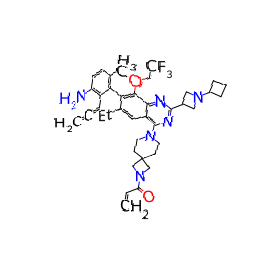 C=C=Cc1c(N)ccc(C)c1-c1c(CC)cc2c(N3CCC4(CC3)CN(C(=O)C=C)C4)nc(C3CN(C4CCC4)C3)nc2c1OCC(F)(F)F